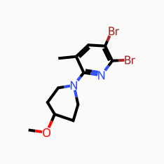 COC1CCN(c2nc(Br)c(Br)cc2C)CC1